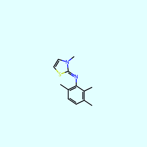 Cc1ccc(C)c(N=c2sccn2C)c1C